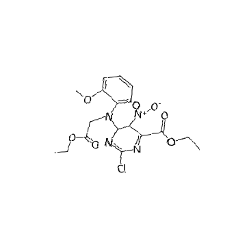 CCOC(=O)CN(c1ccccc1OC)C1N=C(Cl)N=C(C(=O)OCC)C1[N+](=O)[O-]